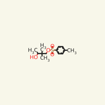 Cc1ccc(S(=O)(=O)OCC(C)(C)C(C)O)cc1